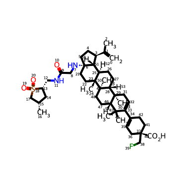 C=C(C)[C@@H]1CC[C@]2(NCC(=O)NC[C@@H]3C[C@H](C)CS3(=O)=O)CC[C@]3(C)[C@H](CC[C@@H]4[C@@]5(C)CC=C(C6=CC[C@](CF)(C(=O)O)CC6)C(C)(C)[C@@H]5CC[C@]43C)[C@@H]12